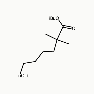 CCCCCCCCCCCCC(C)(C)C(=O)OCC(C)C